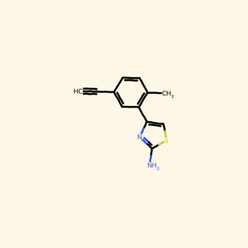 C#Cc1ccc(C)c(-c2csc(N)n2)c1